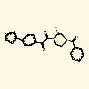 C[C@@H]1CN(C(=O)c2ccccc2)CCN1C(=O)C(=O)c1ccc(-c2ccsc2)cc1